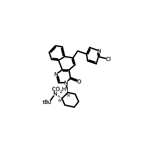 CC(C)(C)N(C(=O)O)[C@H]1CCCC[C@@H]1n1cnc2c(cc(Cc3ccc(Cl)nc3)c3ccccc32)c1=O